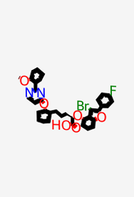 COc1ccccc1-c1nccc(Oc2ccccc2CCC[C@@H](Oc2cccc3oc(-c4ccc(F)cc4)c(Br)c23)C(=O)O)n1